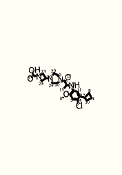 COc1cc(Cl)c(C2CCC2)cc1NC(C)C(=O)N1CCN(C2CN(C(=O)O)C2)CC1